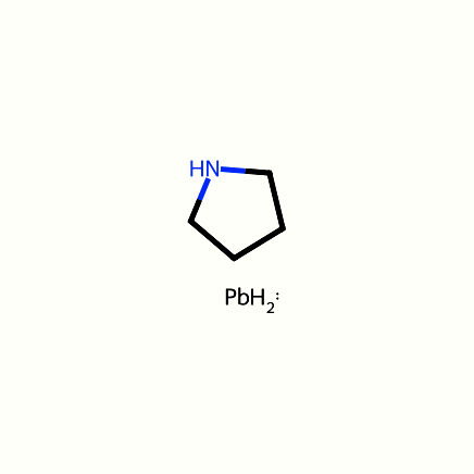 C1CCNC1.[PbH2]